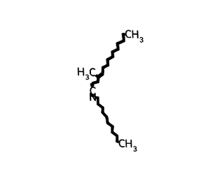 CCCCCCCCCC/C=C(\C)CC=C=NCCCCCCCCCCC